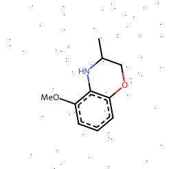 [CH2]C1COc2cccc(OC)c2N1